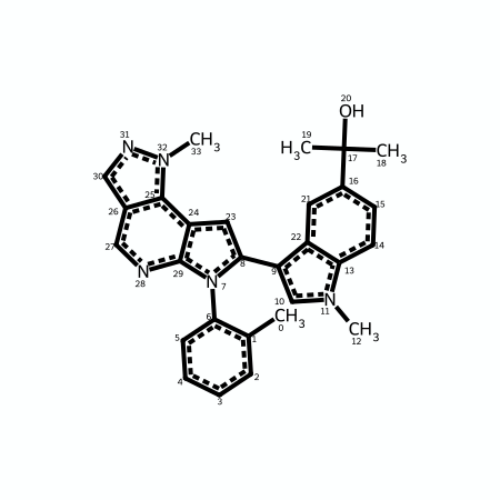 Cc1ccccc1-n1c(-c2cn(C)c3ccc(C(C)(C)O)cc23)cc2c3c(cnc21)cnn3C